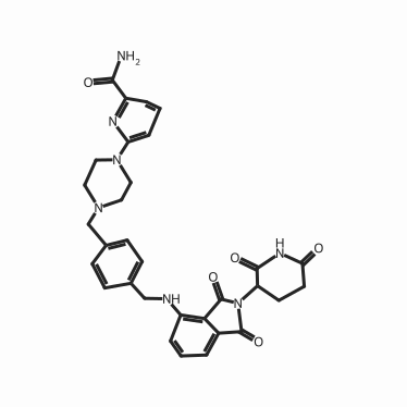 NC(=O)c1cccc(N2CCN(Cc3ccc(CNc4cccc5c4C(=O)N(C4CCC(=O)NC4=O)C5=O)cc3)CC2)n1